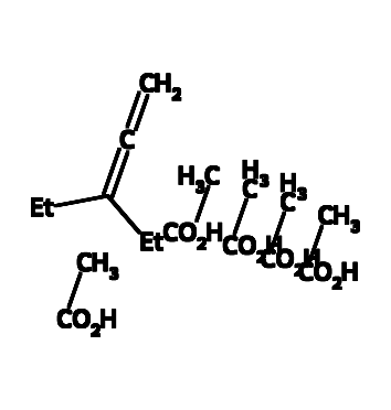 C=C=C(CC)CC.CC(=O)O.CC(=O)O.CC(=O)O.CC(=O)O.CC(=O)O